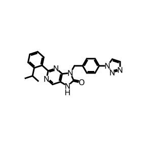 CC(C)c1ccccc1-c1ncc2[nH]c(=O)n(Cc3ccc(-n4ccnn4)cc3)c2n1